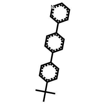 CC(C)(C)c1ccc(-c2ccc(-c3cccnc3)cc2)cc1